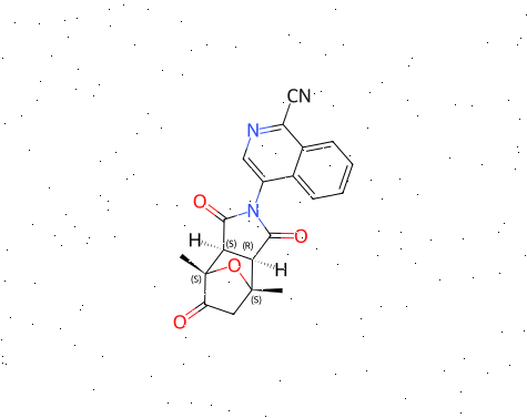 C[C@@]12CC(=O)[C@@](C)(O1)[C@H]1C(=O)N(c3cnc(C#N)c4ccccc34)C(=O)[C@H]12